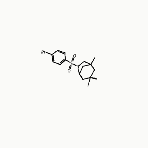 CC(C)c1ccc(S(=O)(=O)N2CC3(C)CC2CC(C)(C)C3)cc1